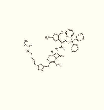 CC(C)(C)OC(=O)NCCSCc1nnc(SC2=C(C(=O)O)N3C(=O)[C@@H](NC(=O)/C(=N\OC(c4ccccc4)(c4ccccc4)c4ccccc4)c4nc(N)sc4Cl)[C@@H]3SC2)s1